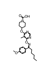 CCCCCC(=NOc1ncnc(OC2CCN(C(=O)O)CC2)c1C)c1ccc(OC)cc1